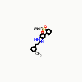 CNS(=O)(=O)c1ccccc1-c1ccc2[nH]c(CCc3cccc(C(F)(F)F)c3)nc2c1